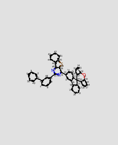 c1ccc(-c2cccc(-c3nc(-c4ccc5c(c4)-c4ccccc4C54c5ccccc5Oc5ccccc54)c4sc5ccccc5c4n3)c2)cc1